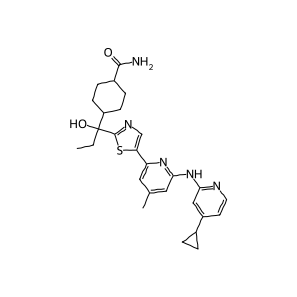 CCC(O)(c1ncc(-c2cc(C)cc(Nc3cc(C4CC4)ccn3)n2)s1)C1CCC(C(N)=O)CC1